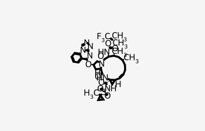 C[C@H]1CC/C=C\[C@@H]2C[C@@]2(C(=O)NS(=O)(=O)C2(C)CC2)NC(=O)[C@@H]2C[C@@H](Oc3nc4nncn4c4ccccc34)CN2C(=O)[C@@H](NC(=O)OC(C)(C)C(F)(F)F)[C@H](C)C1